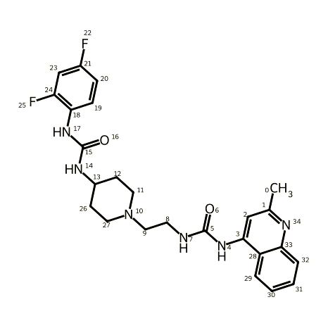 Cc1cc(NC(=O)NCCN2CCC(NC(=O)Nc3ccc(F)cc3F)CC2)c2ccccc2n1